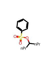 CCCC(CCC)OS(=O)(=O)c1ccccc1